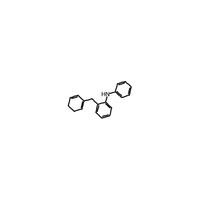 C1=CC(Cc2ccccc2Nc2ccccc2)=CCC1